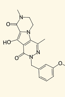 COc1cccc(Cn2nc(C)c3c(c(O)c4n3CCN(C)C4=O)c2=O)c1